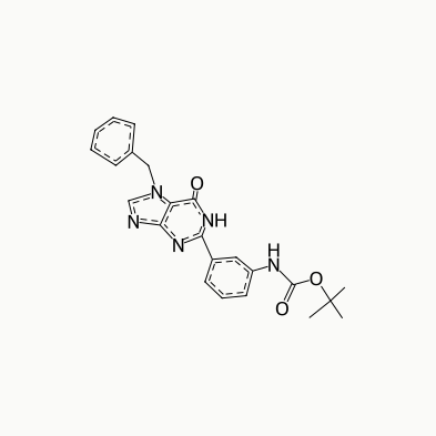 CC(C)(C)OC(=O)Nc1cccc(-c2nc3ncn(Cc4ccccc4)c3c(=O)[nH]2)c1